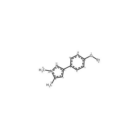 CCOc1ccc(-c2cc(C)n(C)n2)cn1